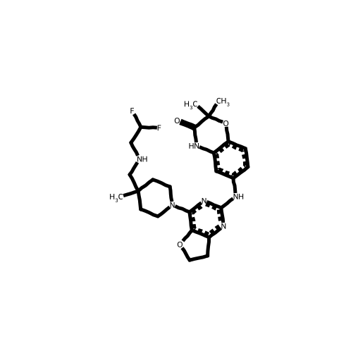 CC1(CNCC(F)F)CCN(c2nc(Nc3ccc4c(c3)NC(=O)C(C)(C)O4)nc3c2OCC3)CC1